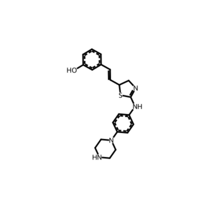 Oc1cccc(/C=C/C2CN=C(Nc3ccc(N4CCNCC4)cc3)S2)c1